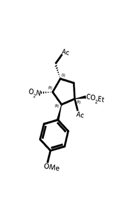 CCOC(=O)[C@]1(C(C)=O)C[C@@H](CC(C)=O)[C@@H]([N+](=O)[O-])[C@@H]1c1ccc(OC)cc1